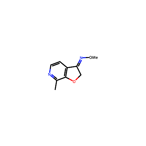 CON=C1COc2c1ccnc2C